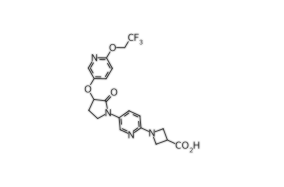 O=C(O)C1CN(c2ccc(N3CCC(Oc4ccc(OCC(F)(F)F)nc4)C3=O)cn2)C1